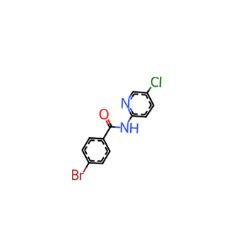 O=C(Nc1ccc(Cl)cn1)c1ccc(Br)cc1